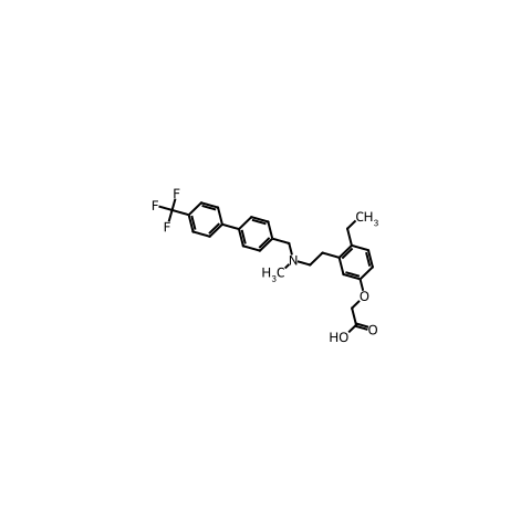 CCc1ccc(OCC(=O)O)cc1CCN(C)Cc1ccc(-c2ccc(C(F)(F)F)cc2)cc1